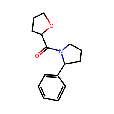 O=C(C1CCCO1)N1CCCC1c1ccccc1